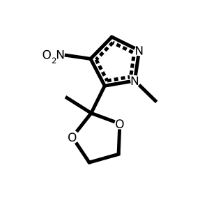 Cn1ncc([N+](=O)[O-])c1C1(C)OCCO1